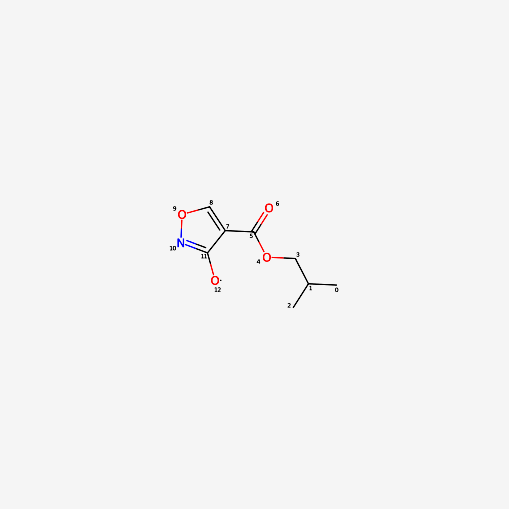 CC(C)COC(=O)c1conc1[O]